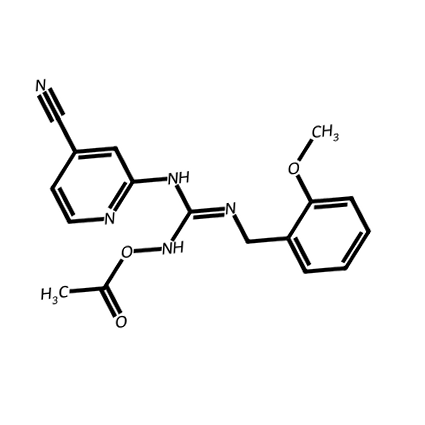 COc1ccccc1CN=C(NOC(C)=O)Nc1cc(C#N)ccn1